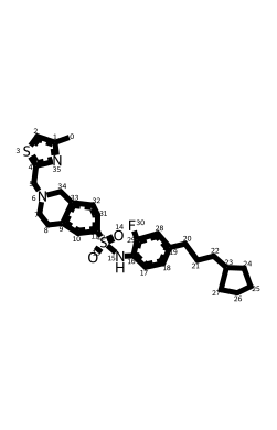 Cc1csc(CN2CCc3cc(S(=O)(=O)Nc4ccc(CCCC5CCCC5)cc4F)ccc3C2)n1